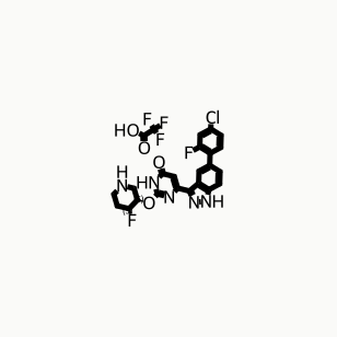 O=C(O)C(F)(F)F.O=c1cc(-c2n[nH]c3ccc(-c4ccc(Cl)cc4F)cc23)nc(O[C@H]2CNCC[C@@H]2F)[nH]1